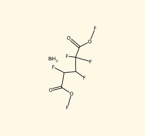 O=C(OF)C(F)C(F)C(F)(F)C(=O)OF.[BiH3]